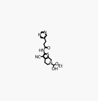 CCOC(O)N1CCc2c(sc(NC(=O)CCc3cncnc3)c2C#N)C1